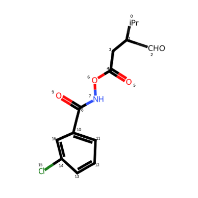 CC(C)C(C=O)CC(=O)ONC(=O)c1cccc(Cl)c1